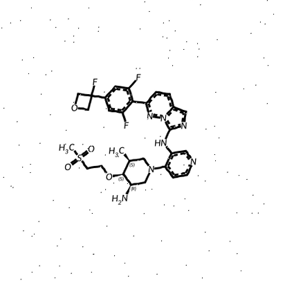 C[C@H]1CN(c2ccncc2Nc2ncc3ccc(-c4c(F)cc(C5(F)COC5)cc4F)nn23)C[C@@H](N)[C@H]1OCCS(C)(=O)=O